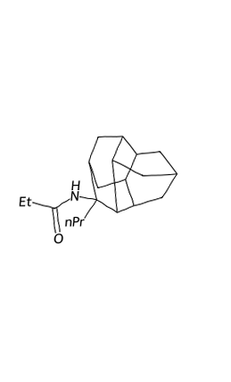 CCCC1(NC(=O)CC)C2CC3C4CC5CC3C1C(C5)C4C2